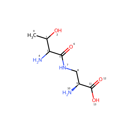 CC(O)C(N)C(=O)NC[C@H](N)C(=O)O